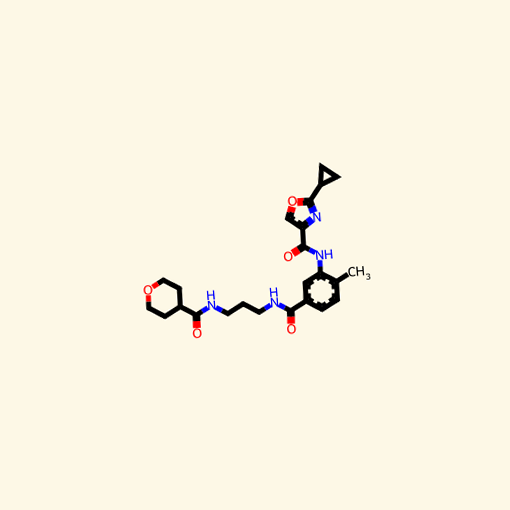 Cc1ccc(C(=O)NCCCNC(=O)C2CCOCC2)cc1NC(=O)c1coc(C2CC2)n1